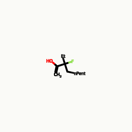 C=C(O)C(F)(CC)CCCCCC